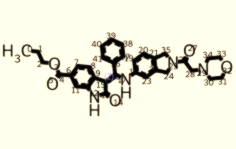 CCCOC(=O)c1ccc2c(c1)NC(=O)/C2=C(\Nc1ccc2c(c1)CN(C(=O)CN1CCOCC1)C2)c1ccccc1